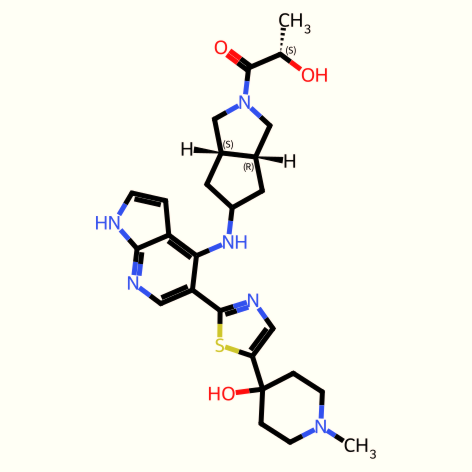 C[C@H](O)C(=O)N1C[C@H]2CC(Nc3c(-c4ncc(C5(O)CCN(C)CC5)s4)cnc4[nH]ccc34)C[C@H]2C1